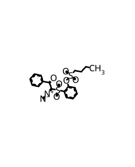 CCCCS(=O)(=O)Oc1ccccc1S(=O)(=O)C(=[N+]=[N-])C(=O)c1ccccc1